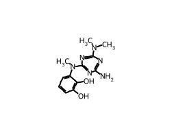 CN(C)c1nc(N)nc(N(C)c2cccc(O)c2O)n1